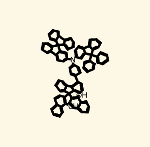 Cc1c(C2(c3ccc4ccccc4c3O)c3ccccc3-c3c(-c4ccc(N(c5ccc6c(c5)C(c5ccccc5)(c5ccccc5)c5ccccc5-6)c5ccc6c(c5)C5(c7ccccc7-c7ccccc75)c5ccccc5-6)cc4)cccc32)ccc2ccccc12